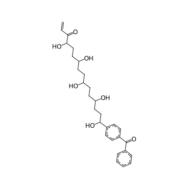 C=CC(=O)C(O)CCC(O)CCC(O)CCC(O)CCC(O)c1ccc(C(=O)c2ccccc2)cc1